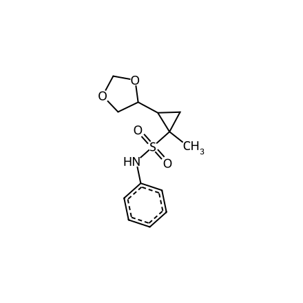 CC1(S(=O)(=O)Nc2ccccc2)CC1C1COCO1